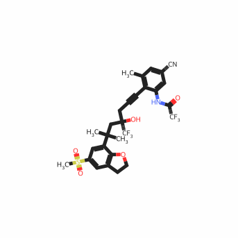 Cc1cc(C#N)cc(NC(=O)C(F)(F)F)c1C#CCC(O)(CC(C)(C)c1cc(S(C)(=O)=O)cc2c1OCC2)C(F)(F)F